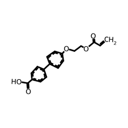 C=CC(=O)OCCOc1ccc(-c2ccc(C(=O)O)cc2)cc1